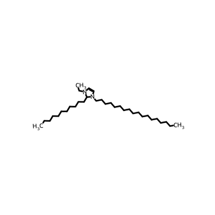 CCCCCCCCCCCCCCCCCCN1C=CN(CC)C1CCCCCCCCCCC